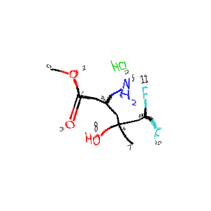 COC(=O)C(N)C(C)(O)C(F)F.Cl